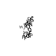 Nc1ncc(Br)n2c(C3CCCN(C(=O)C4CC4)C3)nc(-c3ccc(C(=O)Nc4cc(C(F)(F)F)ccn4)cc3)c12